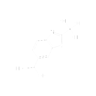 [2H]C([2H])([2H])c1nc2ccc(C(C)O)cc2s1